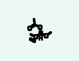 C=C.CO[SiH](OC)OC(C)=O